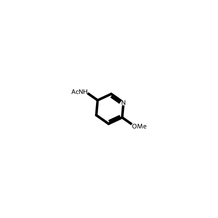 COC1=CCC(NC(C)=O)C=N1